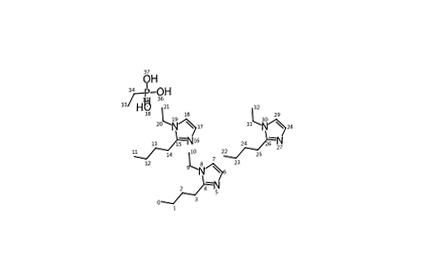 CCCCc1nccn1CC.CCCCc1nccn1CC.CCCCc1nccn1CC.CC[PH](O)(O)O